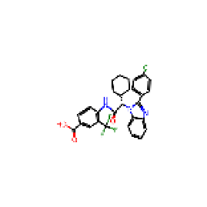 O=C(O)c1ccc(NC(=O)[C@H](C2CCCCC2)n2c(-c3ccc(Cl)cc3)nc3ccccc32)c(C(F)(F)F)c1